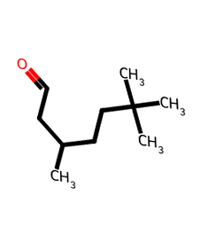 CC(CC=O)CCC(C)(C)C